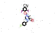 C[C@@H]1CN(COc2c(I)cc(C#N)cc2I)[C@@H](C)C(=C=O)N1Cc1ccc(F)cc1